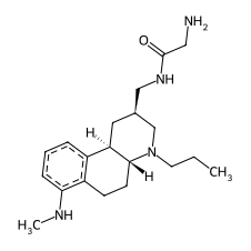 CCCN1C[C@H](CNC(=O)CN)C[C@@H]2c3cccc(NC)c3CC[C@H]21